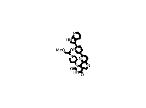 COCC(=O)N1CCC(n2c(=O)[nH]c(=O)c3cnc4ccc(-c5ccc(-c6c[nH]c7ncccc67)nc5)nc4c32)CC1